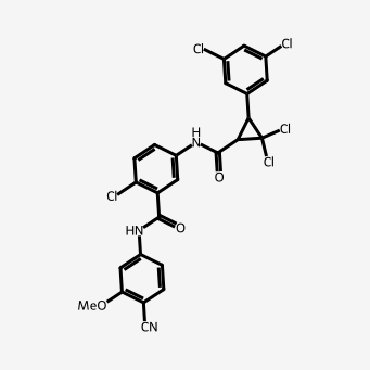 COc1cc(NC(=O)c2cc(NC(=O)C3C(c4cc(Cl)cc(Cl)c4)C3(Cl)Cl)ccc2Cl)ccc1C#N